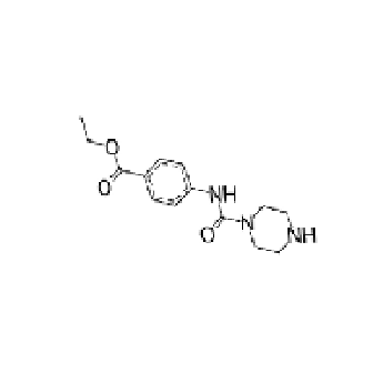 CCOC(=O)c1ccc(NC(=O)N2CCNCC2)cc1